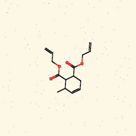 C=CCOC(=O)C1CC=CC(C)C1C(=O)OCC=C